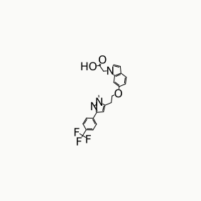 Cn1nc(-c2ccc(C(F)(F)F)cc2)cc1CCOc1ccc2ccn(CC(=O)O)c2c1